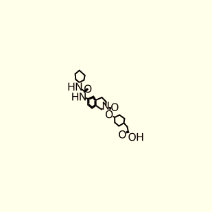 O=C(O)CC1CCC(OC(=O)N2CCc3cc(NC(=O)NC4CCCCC4)ccc3C2)CC1